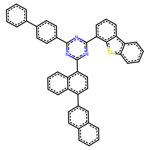 c1ccc(-c2ccc(-c3nc(-c4ccc(-c5ccc6ccccc6c5)c5ccccc45)nc(-c4cccc5c4sc4ccccc45)n3)cc2)cc1